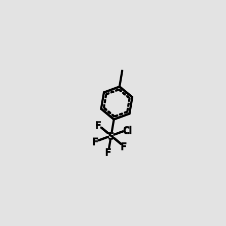 Cc1ccc(S(F)(F)(F)(F)Cl)cc1